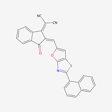 N#CC(C#N)=C1/C(=C/c2cc3sc(-c4cccc5ccccc45)nc3o2)C(=O)c2ccccc21